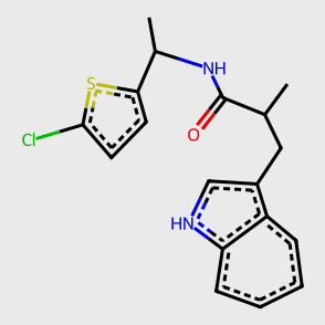 CC(Cc1c[nH]c2ccccc12)C(=O)NC(C)c1ccc(Cl)s1